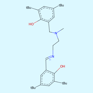 CN(CC/N=C/c1cc(C(C)(C)C)cc(C(C)(C)C)c1O)Cc1cc(C(C)(C)C)cc(C(C)(C)C)c1O